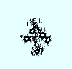 Cn1nc(NS(C)(=O)=O)c2cccc(-n3c([C@H](Cc4cc(F)cc(F)c4)NC(=O)Cn4nc(C(F)F)c5c4C(F)(F)[C@@H]4C[C@H]54)nc4cc(C5CCCC5)ccc4c3=O)c21